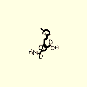 CNC(=O)c1cc(C(=O)O)c(C=Cc2cccc(C)n2)o1